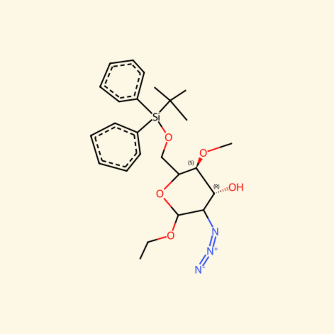 CCOC1OC(CO[Si](c2ccccc2)(c2ccccc2)C(C)(C)C)[C@@H](OC)[C@H](O)C1N=[N+]=[N-]